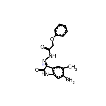 Bc1cc2c(cc1C)/C(=N\NC(=O)COc1ccccc1)C(=O)N2